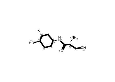 C[C@@H]1C[C@H](NC(=O)[C@H](N)CO)CC[C@H]1O